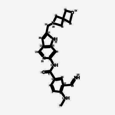 CNc1ccc(C(=O)Nc2cc3[nH]c(CN4CC5(COC5)C4)cc3cn2)cc1C=N